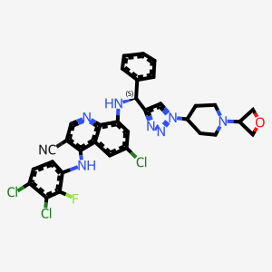 N#Cc1cnc2c(N[C@@H](c3ccccc3)c3cn(C4CCN(C5COC5)CC4)nn3)cc(Cl)cc2c1Nc1ccc(Cl)c(Cl)c1F